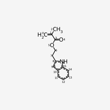 C=C(C)C(=O)OCCc1cc2ccccc2[nH]1